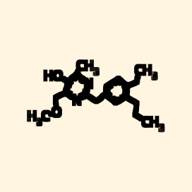 CCCc1cc(Cc2nc(C)c(O)c(COC)n2)ccc1CC